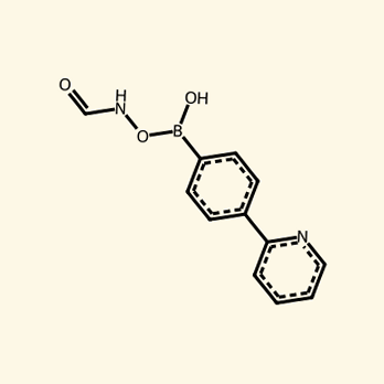 O=CNOB(O)c1ccc(-c2ccccn2)cc1